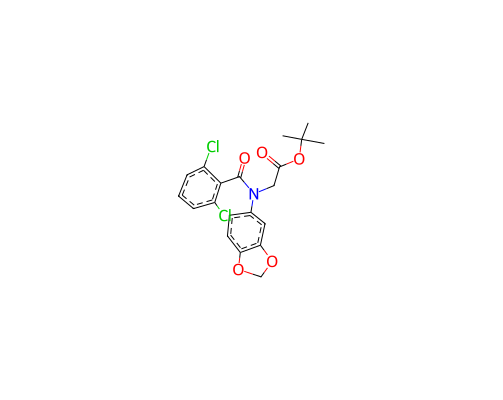 CC(C)(C)OC(=O)CN(C(=O)c1c(Cl)cccc1Cl)c1ccc2c(c1)OCO2